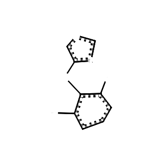 Brc1cccc(Br)c1Oc1co[c]n1